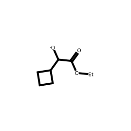 CCOC(=O)C([O])C1CCC1